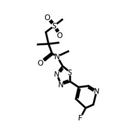 CN(C(=O)C(C)(C)CS(C)(=O)=O)c1nnc(C2=CC(F)CN=C2)s1